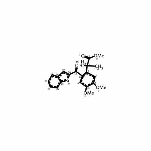 COC(=O)C(C)(C)c1cc(OC)c(OC)cc1C(=O)c1cc2ccccc2s1